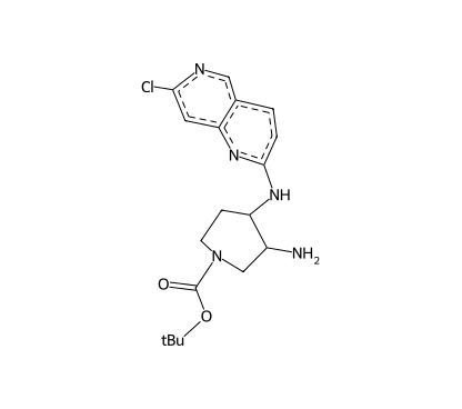 CC(C)(C)OC(=O)N1CCC(Nc2ccc3cnc(Cl)cc3n2)C(N)C1